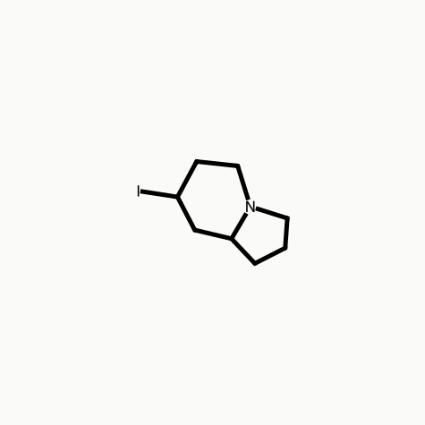 IC1CCN2CCCC2C1